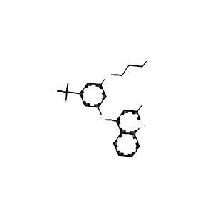 Cc1cc(Nc2cc(OCCCCl)cc(C(F)(F)F)c2)c2ccccc2n1